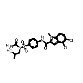 CC(O)CN(C(N)=O)S(=O)(=O)c1ccc(NC(=O)c2cc3c(Cl)c(Cl)ccc3n2C)cc1